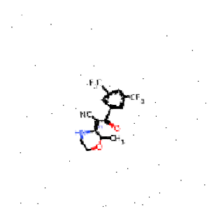 CC1OCCN/C1=C(\C#N)C(=O)c1cc(C(F)(F)F)cc(C(F)(F)F)c1